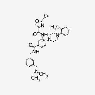 CCN(C)Cc1cccc(CNC(=O)c2ccc(N3CCN(c4ccccc4C)CC3)c(NC(=O)c3coc(C4CC4)n3)c2)c1